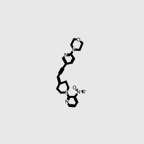 O=[N+]([O-])c1cccnc1N1CCC(=CC#Cc2ccc(N3CCOCC3)nc2)CC1